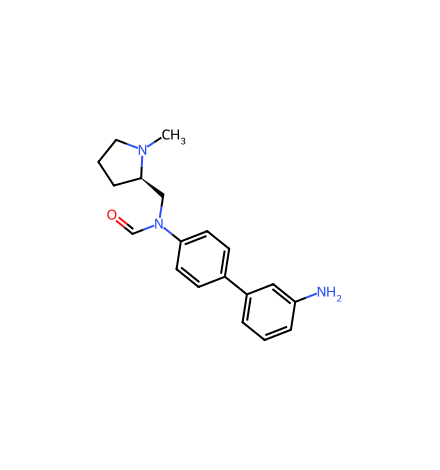 CN1CCC[C@@H]1CN(C=O)c1ccc(-c2cccc(N)c2)cc1